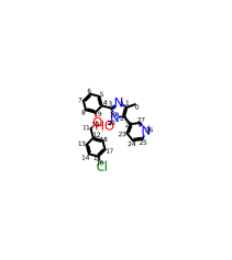 Cc1nc(-c2ccccc2OCc2ccc(Cl)cc2)n(O)c1-c1cccnc1